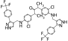 CC(C(=O)C(C)c1ccc(NCc2c[nH]nc2-c2ccc(C(F)(F)F)cc2)c(Cl)c1)c1ccc(NCc2c[nH]nc2-c2ccc(C(F)(F)F)cc2)c(Cl)c1